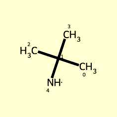 CC(C)(C)[NH]